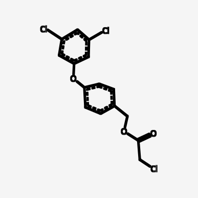 O=C(CCl)OCc1ccc(Oc2cc(Cl)cc(Cl)c2)cc1